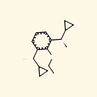 CCOc1c([C@@H](C)C2CC2)cccc1[C@H](C)C1CC1